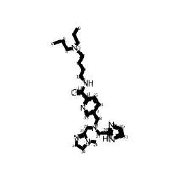 CCCN(CCC)CCCCNC(=O)c1ccc(CN(CC2=NCCN2C)Cc2ncc[nH]2)cn1